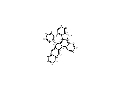 c1cnc(-n2c3cc4ccccc4cc3c3c4ccccc4c4sc5ccccc5c4c32)nc1